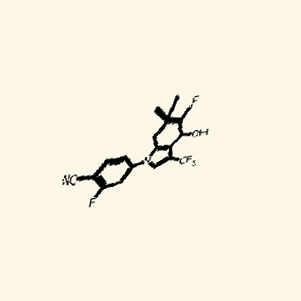 CC1(C)Cc2c(c(C(F)(F)F)cn2-c2ccc(C#N)c(F)c2)C(O)C1F